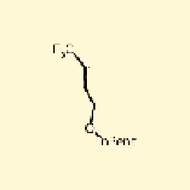 CCCCCOCC[CH]C(F)(F)F